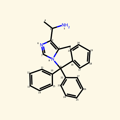 Cc1c(C(C)N)ncn1C(c1ccccc1)(c1ccccc1)c1ccccc1